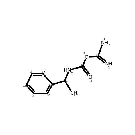 CC(NC(=O)OC(=N)N)c1ccccc1